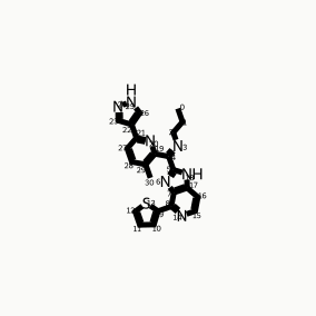 CCC/N=C(/c1nc2c(-c3cccs3)nccc2[nH]1)c1nc(-c2cn[nH]c2)ccc1C